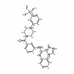 O=C(c1cccc(Nc2nc3ccccc3n3cnnc23)c1)N1CCN(c2cccc(C(F)(F)F)c2)CC1